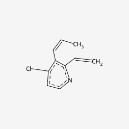 C=Cc1nccc(Cl)c1/C=C\C